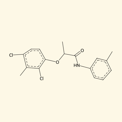 Cc1cccc(NC(=O)C(C)Oc2ccc(Cl)c(C)c2Cl)c1